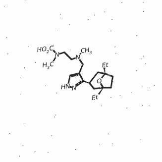 CC[C@]12CC[C@](CC)(C[C@@H](c3n[nH]cc3CN(C)CCN(C)C(=O)O)C1)O2